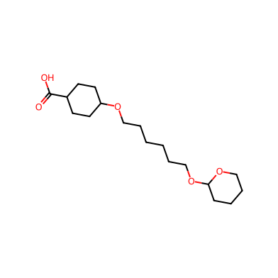 O=C(O)C1CCC(OCCCCCCOC2CCCCO2)CC1